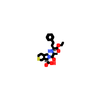 CCOC(=O)[C@H](CCc1ccccc1)NC(C)C(=O)N1CC2CCSCC2[C@H]1C(=O)O